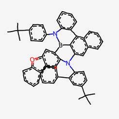 CC(C)(C)c1ccc(N2B3c4cc5oc6ccccc6c5cc4N(c4ccc(C(C)(C)C)cc4-c4ccccc4)c4cc5ccccc5c(c43)-c3ccccc32)cc1